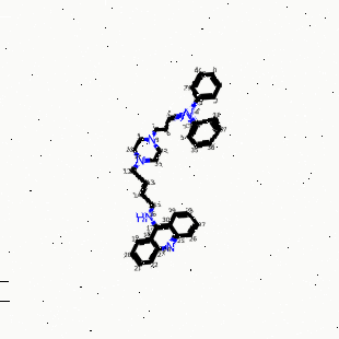 c1ccc(N(CCCN2CCN(CCCCNc3c4ccccc4nc4ccccc34)CC2)c2ccccc2)cc1